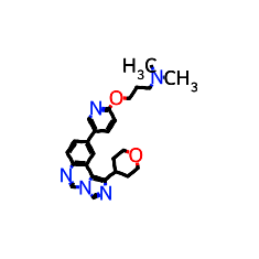 CN(C)CCCOc1ccc(-c2ccc3ncn4cnc(C5CCOCC5)c4c3c2)cn1